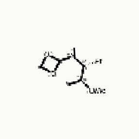 CC[C@@H](NC1OCO1)[C@H](C)OC